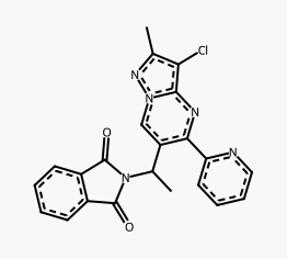 Cc1nn2cc(C(C)N3C(=O)c4ccccc4C3=O)c(-c3ccccn3)nc2c1Cl